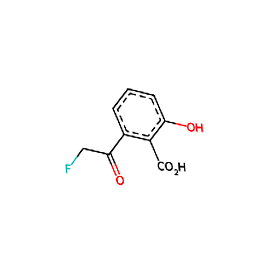 O=C(CF)c1cccc(O)c1C(=O)O